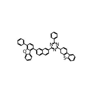 C1=CC(c2nc(-c3ccccc3)nc(-c3ccc4ccc(-c5ccc(-c6ccccc6)c6oc7ccccc7c56)cc4c3)n2)Cc2sc3ccccc3c21